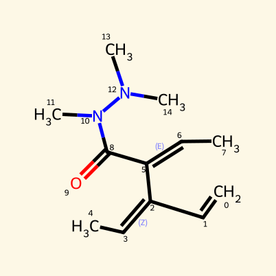 C=CC(=C/C)/C(=C\C)C(=O)N(C)N(C)C